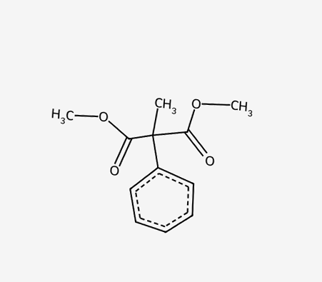 COC(=O)C(C)(C(=O)OC)c1ccccc1